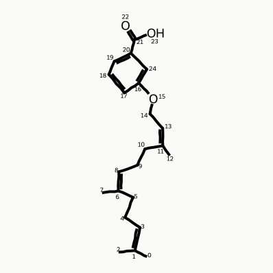 CC(C)=CCCC(C)=CCCC(C)=CCOc1cccc(C(=O)O)c1